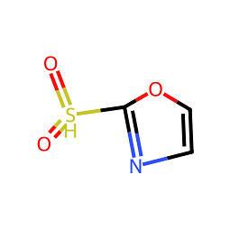 O=[SH](=O)c1ncco1